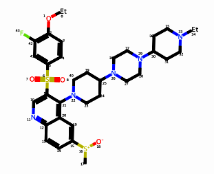 CCOc1ccc(S(=O)(=O)c2cnc3ccc([S+](C)[O-])cc3c2N2CCC(N3CCN(C4CCN(CC)CC4)CC3)CC2)cc1F